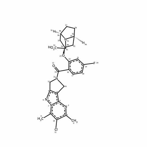 Cc1nc2c3c(nn2c(C)c1Cl)CN(C(=O)c1ccc(F)cc1O[C@H]1C[C@H]2CC[C@@H](C1)N2CC(=O)O)C3